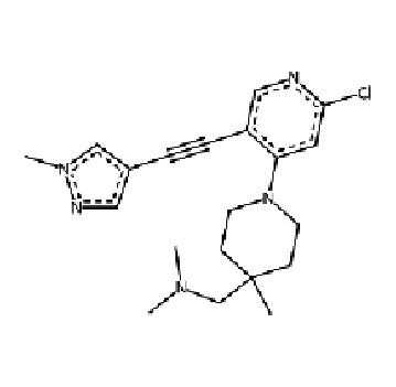 CN(C)CC1(C)CCN(c2cc(Cl)ncc2C#Cc2cnn(C)c2)CC1